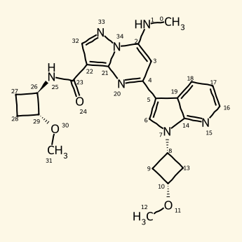 CNc1cc(-c2cn([C@H]3C[C@@H](OC)C3)c3ncccc23)nc2c(C(=O)N[C@@H]3CC[C@H]3OC)cnn12